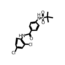 CC(C)(C)S(=O)(=O)Nc1ccc(C(=O)Nc2ccc(Cl)cc2Cl)cc1